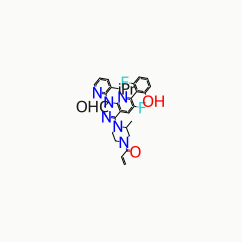 C=CC(=O)N1CCN(/C(=N/C)c2cc(F)c(-c3c(O)cccc3F)nc2N(C=O)c2ncccc2C(C)C)C(C)C1